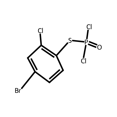 O=P(Cl)(Cl)Sc1ccc(Br)cc1Cl